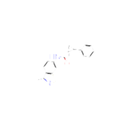 Cc1nsc2cc(NC(=O)[C@@H]3CC3c3ccccc3)ccc12